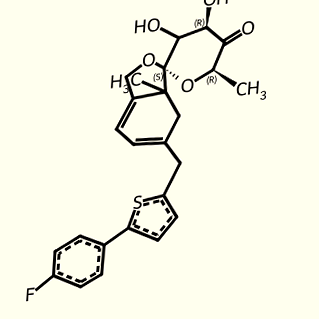 C[C@H]1O[C@]2(OCC3=CC=C(Cc4ccc(-c5ccc(F)cc5)s4)CC32C)C(O)[C@@H](O)C1=O